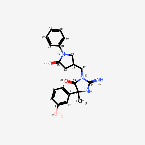 Bc1cccc(C2(C)NC(=N)N(CC3CC(=O)N(c4ccccc4)C3)C2=O)c1